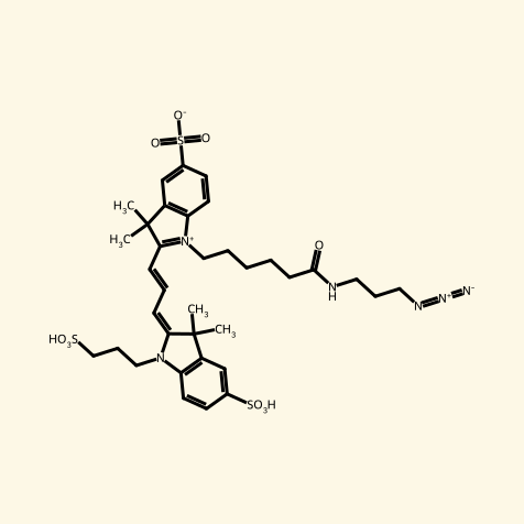 CC1(C)C(/C=C/C=C2/N(CCCS(=O)(=O)O)c3ccc(S(=O)(=O)O)cc3C2(C)C)=[N+](CCCCCC(=O)NCCCN=[N+]=[N-])c2ccc(S(=O)(=O)[O-])cc21